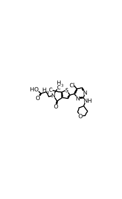 CC1(C)c2sc(-c3nc(NC4CCOCC4)ncc3Cl)cc2C(=O)N1CCC(=O)O